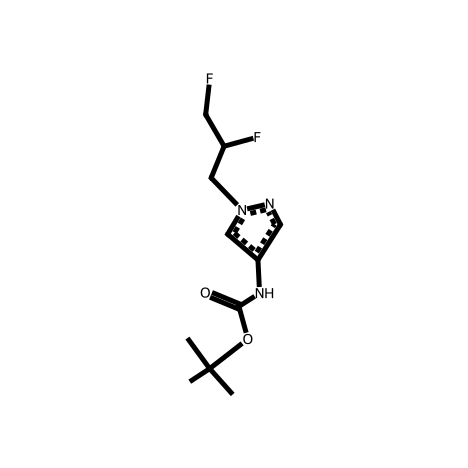 CC(C)(C)OC(=O)Nc1cnn(CC(F)CF)c1